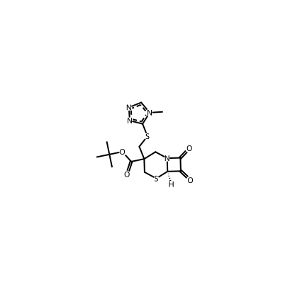 Cn1cnnc1SCC1(C(=O)OC(C)(C)C)CS[C@@H]2C(=O)C(=O)N2C1